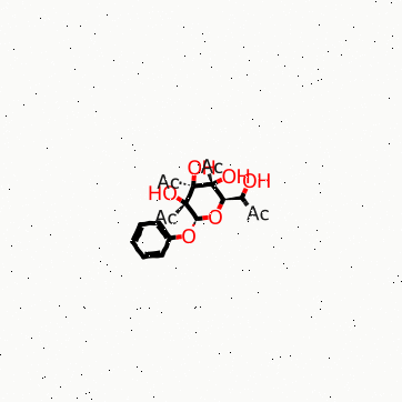 CC(=O)C(O)[C@H]1O[C@H](Oc2ccccc2)[C@@](O)(C(C)=O)[C@](O)(C(C)=O)[C@@]1(O)C(C)=O